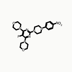 O=[N+]([O-])c1ccc(N2CCN(c3nc(N4CCOCC4)c(F)c(N4CCOCC4)n3)CC2)cc1